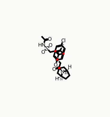 CC(=O)NS(=O)(=O)Cc1cc(Cl)ccc1OCC(=O)N1[C@@H]2CC[C@H]1CC(Oc1ccc(F)cc1)C2